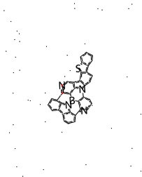 N#Cc1cccc2c3cccc(C#N)c3n(B3c4ccccc4-n4c5ccc6c7ccccc7sc6c5c5cccc3c54)c12